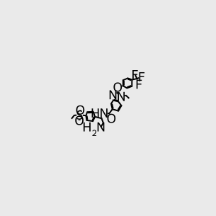 CCn1c(Oc2ccc(C(F)(F)F)cc2)nc2cc(C(=O)NC(CN)c3ccc(S(=O)(=O)CC)cc3)ccc21